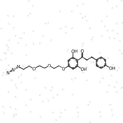 [N-]=[N+]=NCCOCCOCCOc1cc(O)c(C(=O)CCc2ccc(O)cc2)c(O)c1